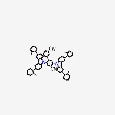 Cc1ccccc1-c1ccc2c(c1)c1cc(-c3ccccc3C)ccc1n2-c1cc(-c2cccc(C#N)c2)c(-n2c3ccc(-c4ccccc4C)cc3c3cc(-c4ccccc4C)ccc32)cc1C#N